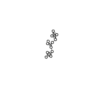 c1ccc(N2c3ccccc3N(c3cccc(-c4ccc(N(c5ccc(-c6cccc(N7c8ccccc8N(c8ccccc8)c8ccccc87)c6)cc5)c5cccc6ccccc56)cc4)c3)c3ccccc32)cc1